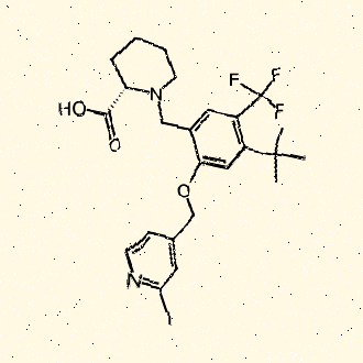 CC(C)(C)c1cc(OCc2ccnc(I)c2)c(CN2CCCC[C@H]2C(=O)O)cc1C(F)(F)F